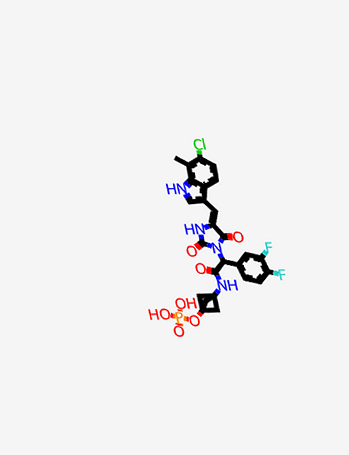 Cc1c(Cl)ccc2c(/C=C3\NC(=O)N(C(C(=O)NC45CC(OP(=O)(O)O)(C4)C5)c4ccc(F)c(F)c4)C3=O)c[nH]c12